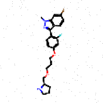 Cn1nc(-c2ccc(OCCCOCC3CCCN3)cc2F)c2ccc(Br)cc21